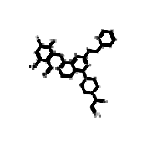 C=CC(=O)N1CCN(c2nc(OCc3ccccn3)nc3c(Oc4c(Cl)c(F)cc(N)c4C=N)nccc23)CC1